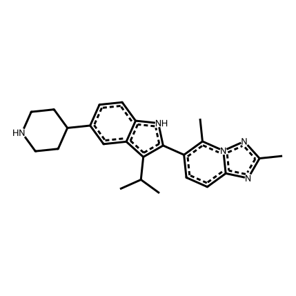 Cc1nc2ccc(-c3[nH]c4ccc(C5CCNCC5)cc4c3C(C)C)c(C)n2n1